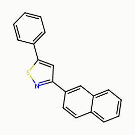 c1ccc(-c2cc(-c3ccc4ccccc4c3)ns2)cc1